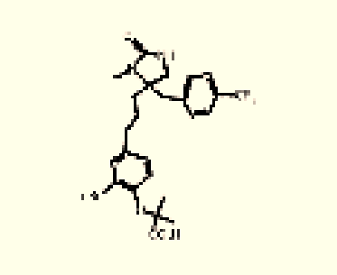 CCCCc1cc(CCCC2(Cc3ccc(C(F)(F)F)cc3)CNC(=O)N2C)ccc1OC(C)(C)C(=O)O